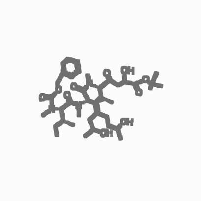 CC[C@H](C)[C@@H](C(=O)N(C)[C@H](C(=O)N(C)[C@H](C(=O)CC(O)C(=O)OC(C)(C)C)[C@@H](C)CCCC(C)O)[C@@H](C)CCCC(C)O)N(C)C(=O)OCc1ccccc1